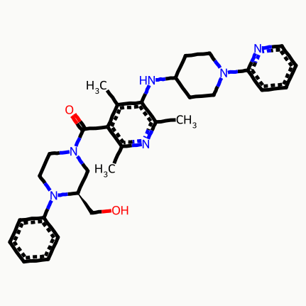 Cc1nc(C)c(C(=O)N2CCN(c3ccccc3)[C@H](CO)C2)c(C)c1NC1CCN(c2ccccn2)CC1